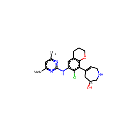 CNc1cc(C)nc(Nc2cc3c(c(C4=CCNC[C@@H](O)C4)c2Cl)OCCC3)n1